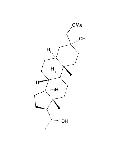 COC[C@@]1(O)CC[C@@]2(C)[C@@H](CC[C@@H]3[C@@H]2CC[C@]2(C)[C@@H]([C@@H](C)O)CC[C@@H]32)C1